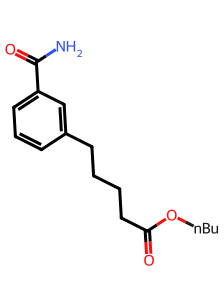 CCCCOC(=O)CCCCc1cccc(C(N)=O)c1